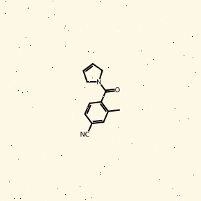 Cc1cc(C#N)ccc1C(=O)N1CC=CC1